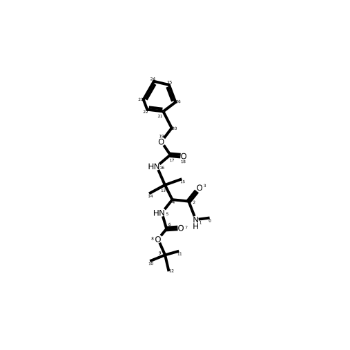 CNC(=O)C(NC(=O)OC(C)(C)C)C(C)(C)NC(=O)OCc1ccccc1